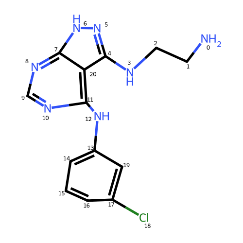 NCCNc1n[nH]c2ncnc(Nc3cccc(Cl)c3)c12